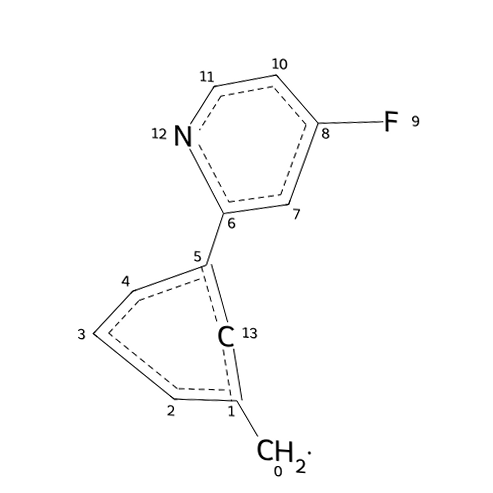 [CH2]c1cccc(-c2cc(F)ccn2)c1